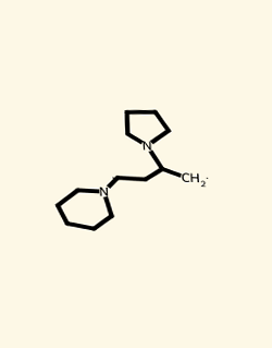 [CH2]C(C[CH]N1CCCCC1)N1CCCC1